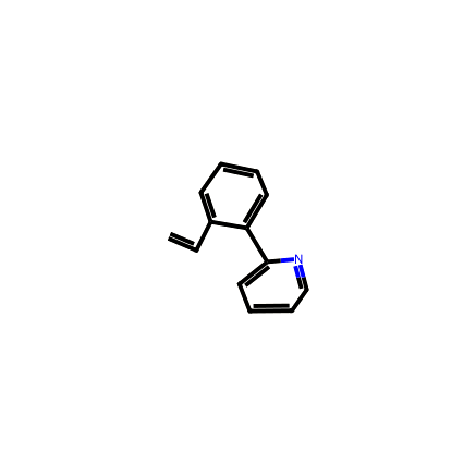 C=Cc1ccccc1-c1ccccn1